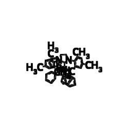 Cc1cc(C)c(N2CCN(c3c(C)cc(C)cc3C)[CH]2/[Ru](=[CH]/c2ccccc2)[PH](c2ccccc2)(c2ccccc2)c2ccccc2)c(C)c1